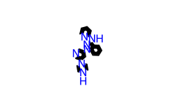 c1ccc(Nc2nn(-c3cncc(N4CCNCC4)c3)c3ccccc23)nc1